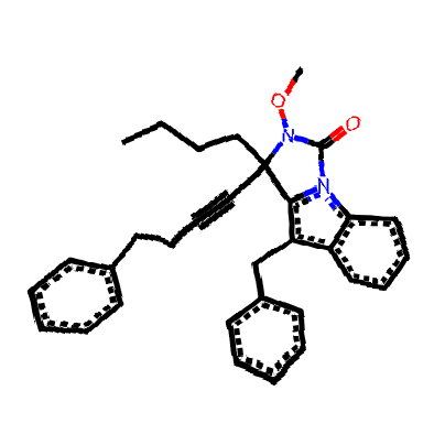 CCCCC1(C#CCCc2ccccc2)c2c(Cc3ccccc3)c3ccccc3n2C(=O)N1OC